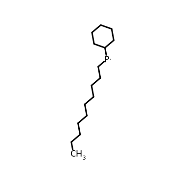 CCCCCCCCCC[P]C1CCCCC1